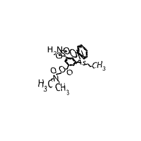 CCCC[AsH]c1cc(C(=O)OCC(=O)N(CC)CC)cc(S(N)(=O)=O)c1Oc1ccccc1